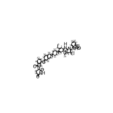 CCc1cc(Nc2ncc(Cl)c(Nc3ccccc3P(C)(C)=O)n2)c(OC)cc1N1CCC(N2Cc3ccc(Oc4cccc5c4CN(C4CCC(=O)NC4=O)C5=O)cc3C2)CC1